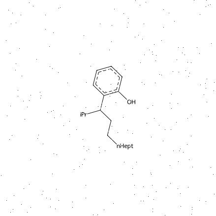 CCCCCCCCCC(c1ccccc1O)C(C)C